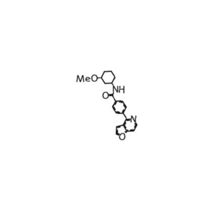 CO[C@H]1CCC[C@@H](NC(=O)c2ccc(-c3nccc4occc34)cc2)C1